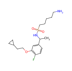 CC(NS(=O)(=O)CCCCCN)c1ccc(F)c(OCCC2CC2)c1